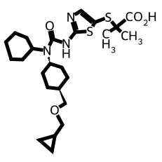 CC(C)(Sc1cnc(NC(=O)N(C2CCCCC2)[C@H]2CC[C@H](COCC3CC3)CC2)s1)C(=O)O